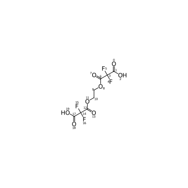 O=C(O)C(F)(F)C(=O)OCCOC(=O)C(F)(F)C(=O)O